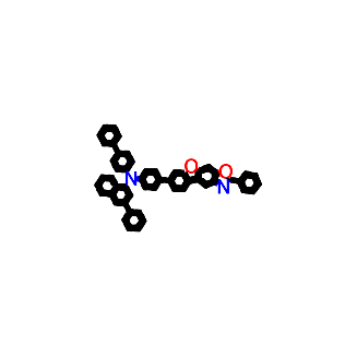 c1ccc(-c2ccc(N(c3ccc(-c4ccc5c(c4)oc4cc6oc(-c7ccccc7)nc6cc45)cc3)c3cc(-c4ccccc4)cc4ccccc34)cc2)cc1